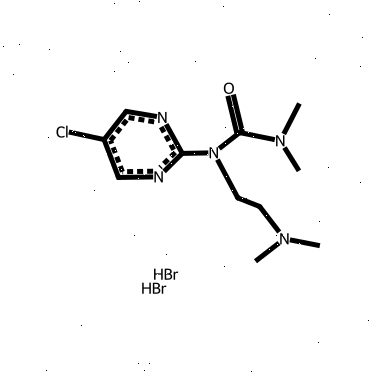 Br.Br.CN(C)CCN(C(=O)N(C)C)c1ncc(Cl)cn1